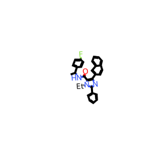 CCn1c(-c2ccccc2)nc(-c2ccc3ccccc3c2)c1C(=O)NC(C)c1ccc(F)cc1